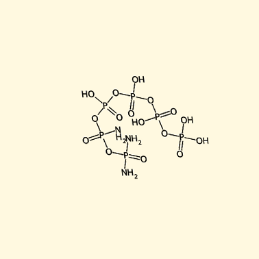 NP(N)(=O)OP(N)(=O)OP(=O)(O)OP(=O)(O)OP(=O)(O)OP(=O)(O)O